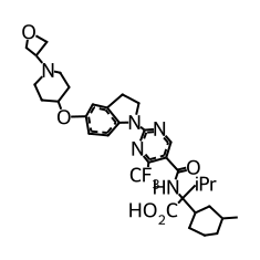 CC1CCCC(C(NC(=O)c2cnc(N3CCc4cc(OC5CCN(C6COC6)CC5)ccc43)nc2C(F)(F)F)(C(=O)O)C(C)C)C1